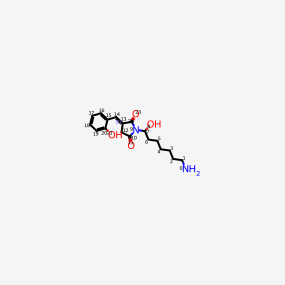 NCCCCCCC(O)N1C(=O)C/C(=C\c2ccccc2O)C1=O